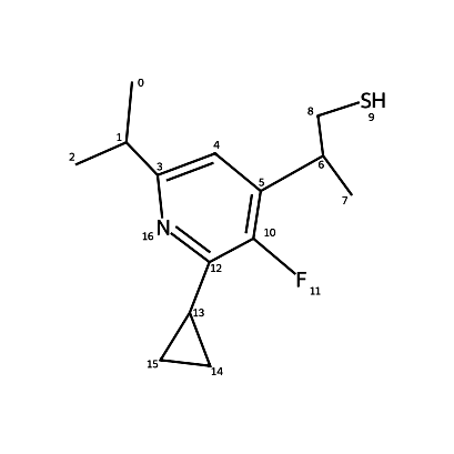 CC(C)c1cc(C(C)CS)c(F)c(C2CC2)n1